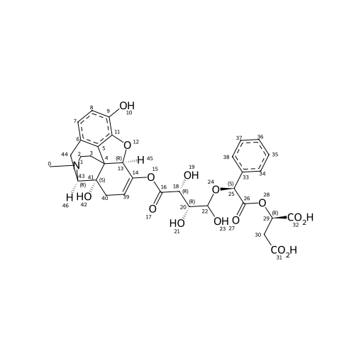 CN1CCC23c4c5ccc(O)c4O[C@H]2C(OC(=O)[C@H](O)[C@@H](O)C(O)O[C@H](C(=O)O[C@H](CC(=O)O)C(=O)O)c2ccccc2)=CC[C@@]3(O)[C@H]1C5